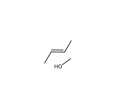 CC=CC.CO